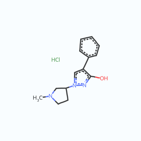 CN1CCC(n2cc(-c3ccccc3)c(O)n2)C1.Cl